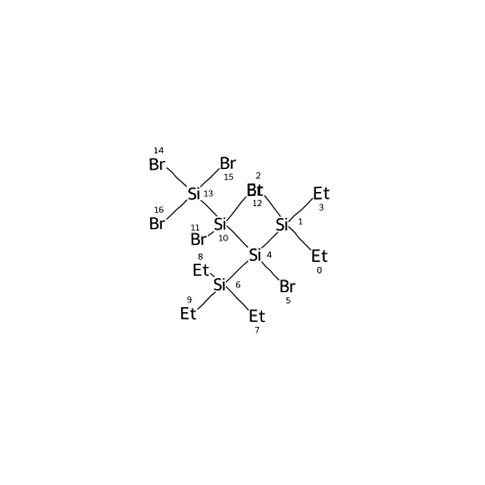 CC[Si](CC)(CC)[Si](Br)([Si](CC)(CC)CC)[Si](Br)(Br)[Si](Br)(Br)Br